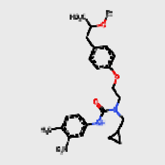 CCOC(Cc1ccc(OCCN(CC2CC2)C(=O)Nc2ccc(C)c([N+](=O)[O-])c2)cc1)C(=O)O